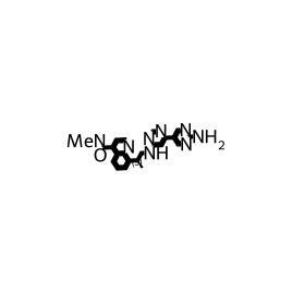 CNC(=O)c1ccnc2c([C@H](C)CNc3cc(-c4cnc(N)nc4)ncn3)cccc12